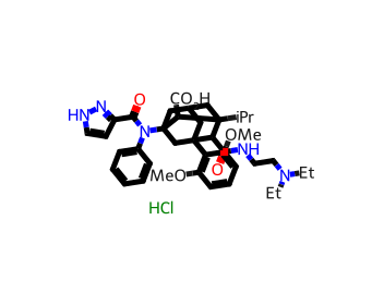 CCN(CC)CCNC(=O)C1C2(c3c(OC)cccc3OC)CC3CC1(C(C)C)C(C(=O)O)C(N(C(=O)c1cc[nH]n1)c1ccccc1)(C3)C2.Cl